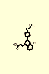 CCOc1ccc(-c2cc(CCC(=O)O)c3ccccc3n2)cc1.Cl